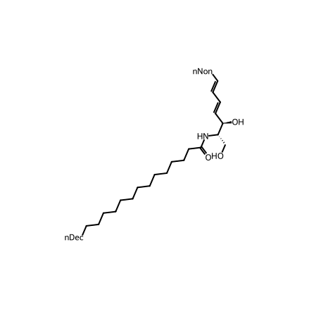 CCCCCCCCC/C=C/C=C/[C@@H](O)[C@H](CO)NC(=O)CCCCCCCCCCCCCCCCCCCCCCC